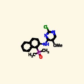 COc1cnc(Cl)nc1Nc1ccc2ccccc2c1P(C)(C)=O